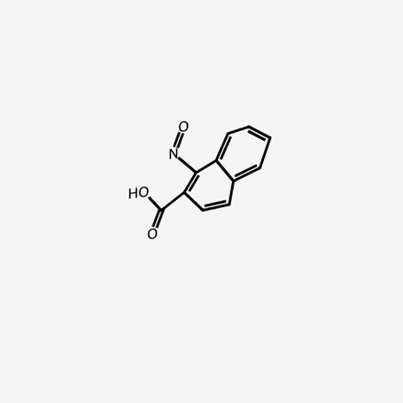 O=Nc1c(C(=O)O)ccc2ccccc12